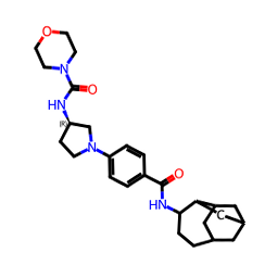 O=C(NC1CCC2CC3CC(C2)C1C3)c1ccc(N2CC[C@@H](NC(=O)N3CCOCC3)C2)cc1